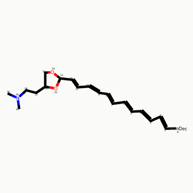 CCCCCCCCCCC=CC=CC=CC=CC=CC=CC1OCC(CCN(C)C)O1